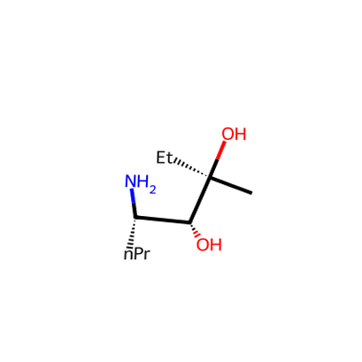 CCC[C@H](N)[C@@H](O)[C@](C)(O)CC